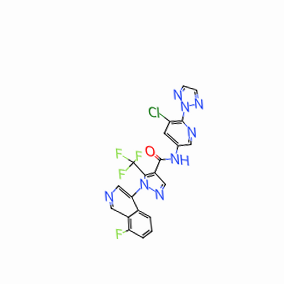 O=C(Nc1cnc(-n2nccn2)c(Cl)c1)c1cnn(-c2cncc3c(F)cccc23)c1C(F)(F)F